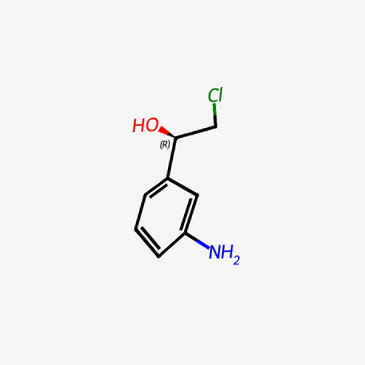 Nc1cccc([C@@H](O)CCl)c1